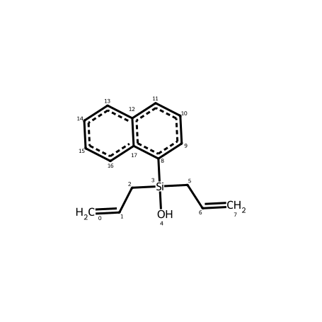 C=CC[Si](O)(CC=C)c1cccc2ccccc12